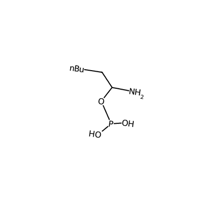 CCCCCC(N)OP(O)O